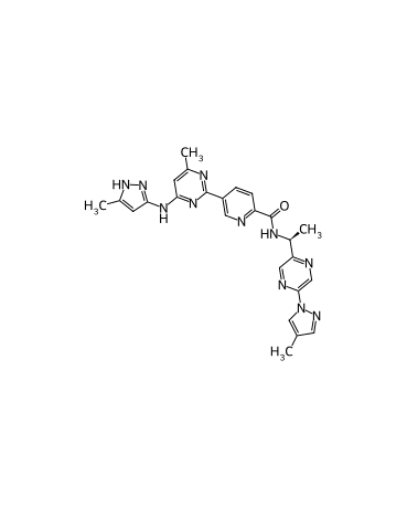 Cc1cnn(-c2cnc([C@H](C)NC(=O)c3ccc(-c4nc(C)cc(Nc5cc(C)[nH]n5)n4)cn3)cn2)c1